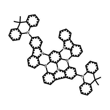 CC1(C)c2ccccc2N(c2ccc3c(c2)c2cccc4c2n3-c2cc3c5c6c2B4c2cccc4c7cc(N8c9ccccc9C(C)(C)c9ccccc98)cc(c7n-6c24)B5c2cccc4c5ccccc5n-3c24)c2ccccc21